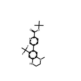 CN1CCNc2cc(C(C)(F)F)c(-c3ccc(C(=O)OC(C)(C)C)nc3)cc21